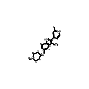 CCc1c(-c2ccnc(C)c2)[nH]c2ccc(OC3CCN(C)CC3)cc12